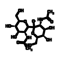 CC(=O)N[C@@H]1[C@@H](O)[C@H](O)[C@@H](CO)OC1([O])C1O[C@H](CO)[C@@H](O)[C@H](O)[C@H]1NC(C)=O